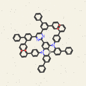 c1ccc(-c2ccc(N3c4cc(-c5ccccc5)ccc4B4c5ccc(-c6ccccc6)cc5N(c5ccc(-c6ccccc6)cc5)c5cc(-c6nc(-c7cc(-c8ccccc8)cc(-c8ccccc8)c7)cc(-c7ccc(-c8ccccc8)c(-c8ccccc8)c7)n6)cc3c54)cc2)cc1